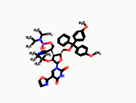 COc1ccc(C(OC[C@@H]2O[C@@H](n3cc(-c4ncco4)c(=O)[nH]c3=O)[C@H](O[Si](C)(C)C(C)(C)C)[C@@H]2C(C#N)COP(O)N(C(C)C)C(C)C)(c2ccccc2)c2ccc(OC)cc2)cc1